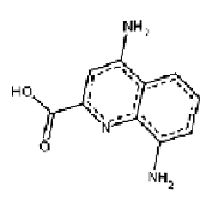 Nc1cc(C(=O)O)nc2c(N)cccc12